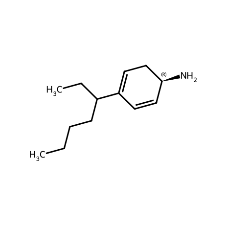 CCCCC(CC)C1=CC[C@@H](N)C=C1